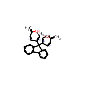 C=C(O)/C=C\C(=C/C)C1(C(/C=C\C(=C)O)=C/C)c2ccccc2-c2ccccc21